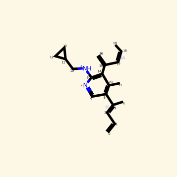 C=C/C=C(\C)c1cnc(NCC2CC2)c(C(=C)/C=C\C)c1C